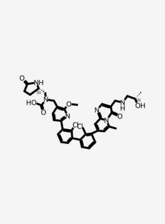 COc1nc(-c2cccc(-c3cccc(-c4cc(C)n5c(=O)c(CNC[C@H](C)O)cnc5c4)c3Cl)c2Cl)ccc1CN(C[C@@H]1CCC(=O)N1)C(=O)O